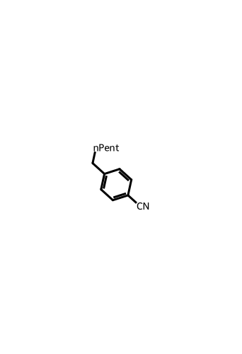 CCCCCCc1ccc(C#N)cc1